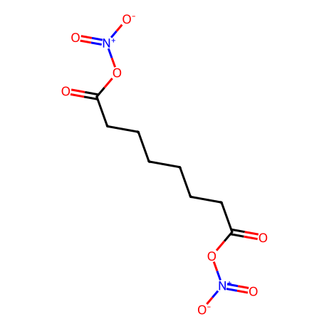 O=C(CCCCCCC(=O)O[N+](=O)[O-])O[N+](=O)[O-]